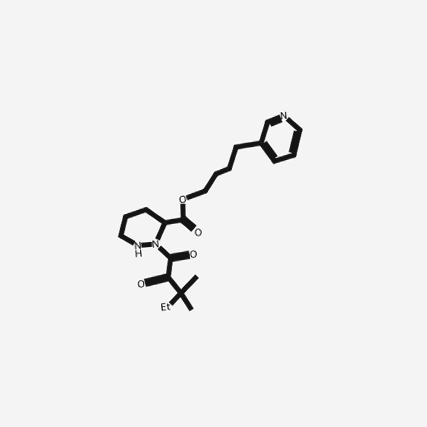 CCC(C)(C)C(=O)C(=O)N1NCCCC1C(=O)OCCCCc1cccnc1